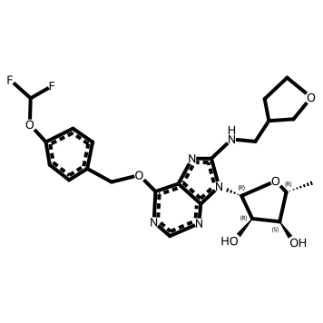 C[C@H]1O[C@@H](n2c(NCC3CCOC3)nc3c(OCc4ccc(OC(F)F)cc4)ncnc32)[C@H](O)[C@@H]1O